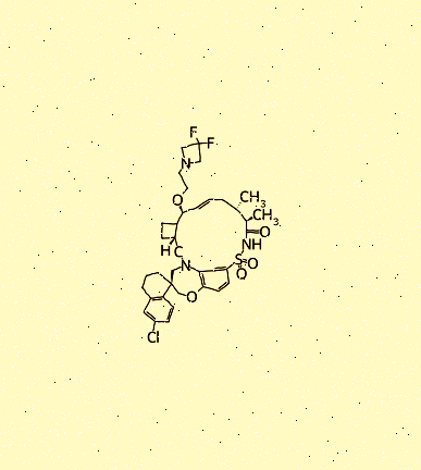 C[C@H]1C/C=C/[C@H](OCCN2CC(F)(F)C2)C2CC[C@H]2CN2C[C@@]3(CCCc4cc(Cl)ccc43)COc3ccc(cc32)S(=O)(=O)NC(=O)[C@@H]1C